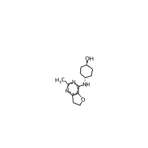 Cc1nc2c(c(N[C@H]3CC[C@H](O)CC3)n1)OCC2